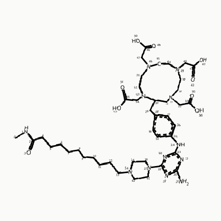 CNC(=O)CCCCCCCCCCN1CCN(c2nc(N)nc(Nc3ccc(CC4CN(CC(=O)O)CCN(CC(=O)O)CCN(CC(=O)O)CCN4CC(=O)O)cc3)n2)CC1